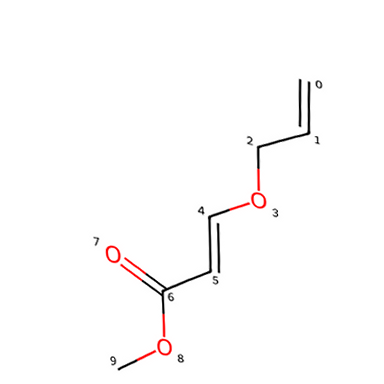 C=CCOC=CC(=O)OC